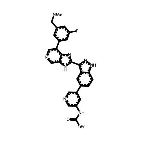 CCCC(=O)Nc1cncc(-c2ccc3[nH]nc(-c4nc5c(-c6cc(F)cc(CNC)c6)cncc5[nH]4)c3c2)c1